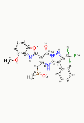 COc1cccc2oc(-c3c(C[S+](C)[O-])[nH]c4c(-c5ccccc5)c(C(F)(F)F)nn4c3=O)nc12